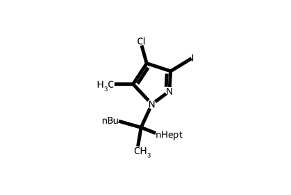 CCCCCCCC(C)(CCCC)n1nc(I)c(Cl)c1C